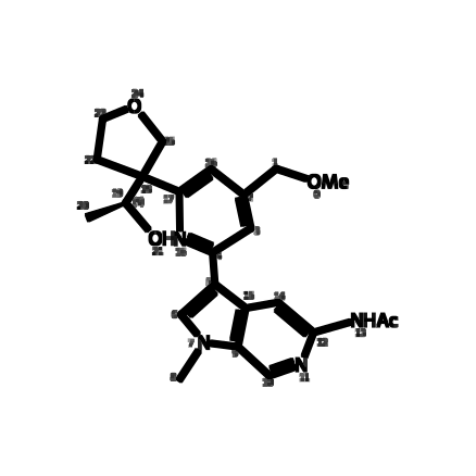 COCc1cc(-c2cn(C)c3cnc(NC(C)=O)cc23)nc(C2([C@H](C)O)CCOC2)c1